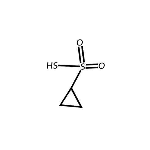 O=S(=O)(S)C1CC1